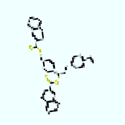 C=Cc1ccc(CCC(SC(=S)c2ccc3ccccc3c2)c2ccc(CSC(=S)c3ccc4ccccc4c3)cc2)cc1